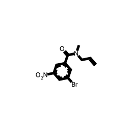 C=CCN(C)C(=O)c1cc(Br)cc([N+](=O)[O-])c1